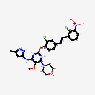 COc1c(Nc2cc(C)[nH]n2)nc(Sc2ccc(/C=C/c3cccc([N+](=O)[O-])c3F)cc2F)nc1N1CCOCC1